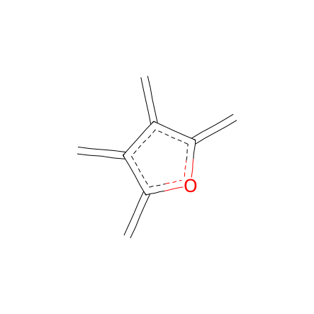 C=c1oc(=C)c(=C)c1=C